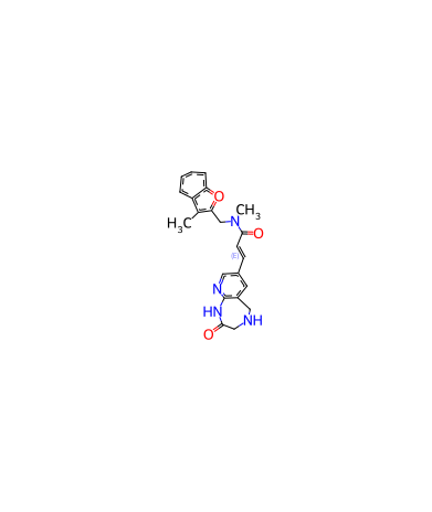 Cc1c(CN(C)C(=O)/C=C/c2cnc3c(c2)CNCC(=O)N3)oc2ccccc12